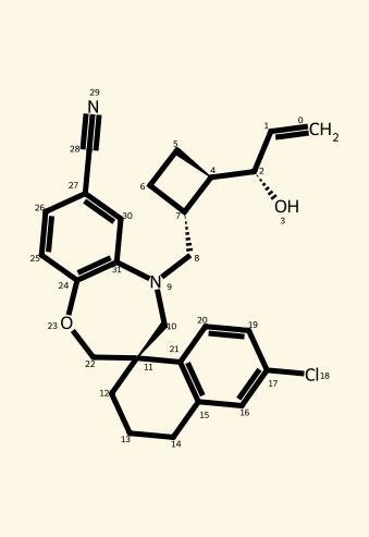 C=C[C@H](O)[C@@H]1CC[C@H]1CN1C[C@@]2(CCCc3cc(Cl)ccc32)COc2ccc(C#N)cc21